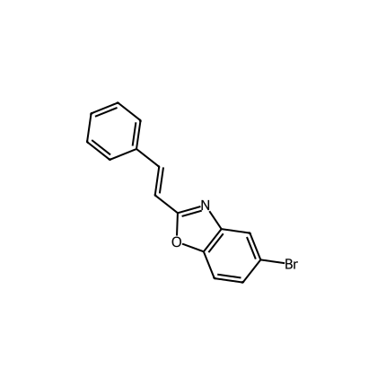 Brc1ccc2oc(/C=C/c3ccccc3)nc2c1